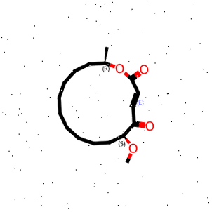 CO[C@H]1CCCCCCCCC[C@@H](C)OC(=O)/C=C/C1=O